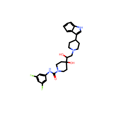 O=C(Nc1cc(F)cc(F)c1)N1CCC(O)(C(O)CN2CCC(c3c[nH]c4ccccc34)CC2)CC1